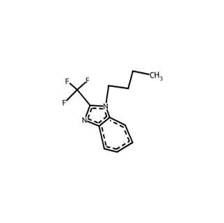 CCCCn1c(C(F)(F)F)nc2ccccc21